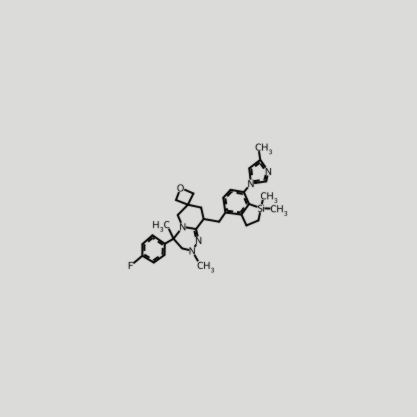 Cc1cn(-c2ccc(CC3CC4(COC4)CN4C3=NN(C)CC4(C)c3ccc(F)cc3)c3c2[Si](C)(C)CC3)cn1